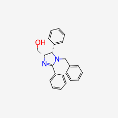 OC[C@H]1N=C(c2ccccc2)N(Cc2ccccc2)[C@H]1c1ccccc1